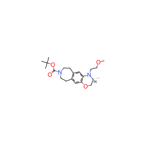 COCCN1c2cc3c(cc2OC[C@H]1C)CCN(C(=O)OC(C)(C)C)CC3